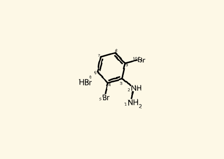 Br.NNc1c(Br)cccc1Br